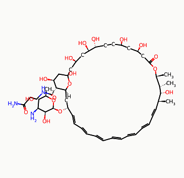 C[C@@H]1[C@H](O)[C@@H](C)/C=C/C=C/C=C/C=C/C=C/C=C/C=C/[C@H](O[C@@H]2O[C@H](C)[C@@H](O)[C@H](N)[C@@H]2O)C[C@@H]2O[C@](O)(C[C@@H](O)C[C@@H](O)[C@H](O)CC[C@@H](O)C[C@@H](O)CC(=O)O[C@H]1C)C[C@H](O)[C@H]2C(=O)NCCC(N)=O